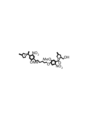 C=C1CCN(C(=C)c2cc(OC)c(CCCCCCOc3cc([N+](=O)[O-])c(C(=O)N4CC(=C)CC4CO)cc3OC)cc2[N+](=O)[O-])C1